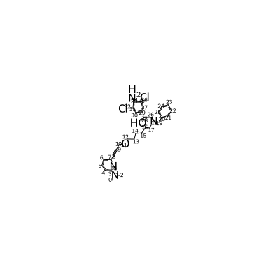 CN(C)c1cccc(C#CCOCCCCCCN(Cc2ccccc2)CC(O)c2cc(Cl)c(N)c(Cl)c2)n1